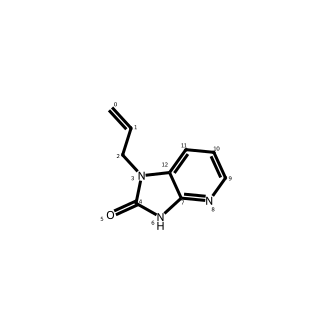 C=CCn1c(=O)[nH]c2ncccc21